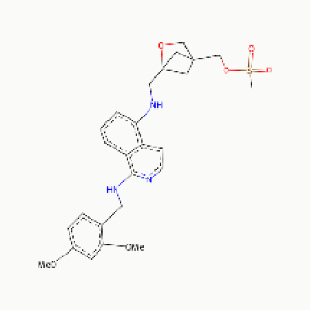 COc1ccc(CNc2nccc3c(NCC45CC(COS(C)(=O)=O)(CO4)C5)cccc23)c(OC)c1